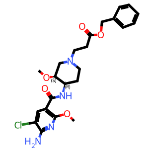 COc1nc(N)c(Cl)cc1C(=O)N[C@@H]1CCN(CCC(=O)OCc2ccccc2)C[C@@H]1OC